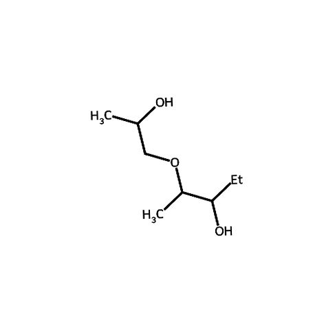 CCC(O)C(C)OCC(C)O